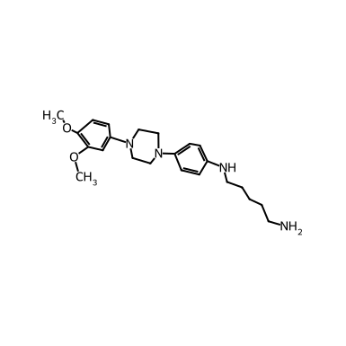 COc1ccc(N2CCN(c3ccc(NCCCCCN)cc3)CC2)cc1OC